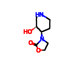 O=C1OCCN1[C@@H]1CCNC[C@H]1O